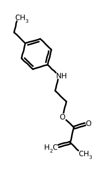 C=C(C)C(=O)OCCNc1ccc(CC)cc1